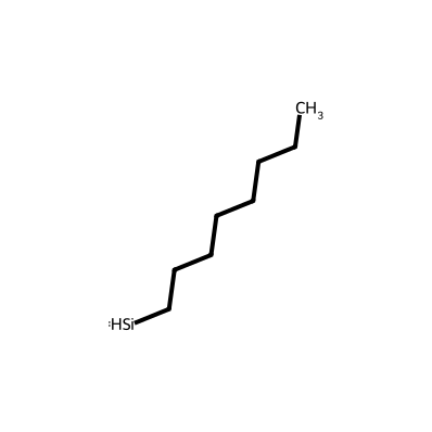 CCCCCCCC[SiH]